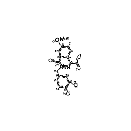 COc1ccc2c(C(=O)Cl)nn(Cc3ccc(Cl)c(Cl)c3)c(=O)c2c1